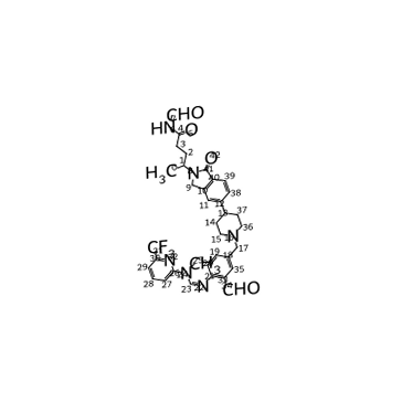 CC(CCC(=O)NC=O)N1Cc2cc(C3CCN(Cc4ccc(/N=C\N(C)c5cccc(C(F)(F)F)n5)c(C=O)c4)CC3)ccc2C1=O